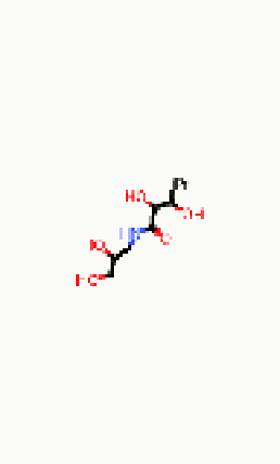 CC(C)C(O)C(O)C(=O)NCC(O)CO